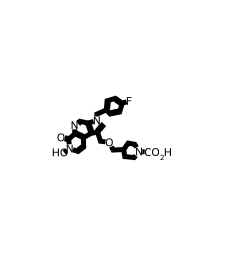 O=C(O)N1CCC(COCc2cn(Cc3ccc(F)cc3)c3cnc4c(=O)n(O)ccc4c23)CC1